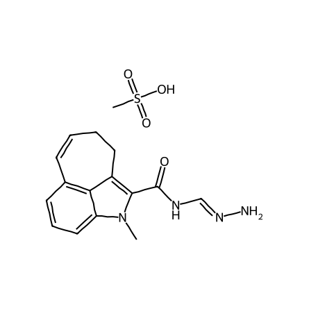 CS(=O)(=O)O.Cn1c(C(=O)NC=NN)c2c3c(cccc31)C=CCC2